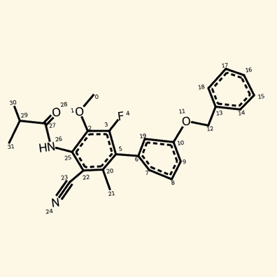 COc1c(F)c(-c2cccc(OCc3ccccc3)c2)c(C)c(C#N)c1NC(=O)C(C)C